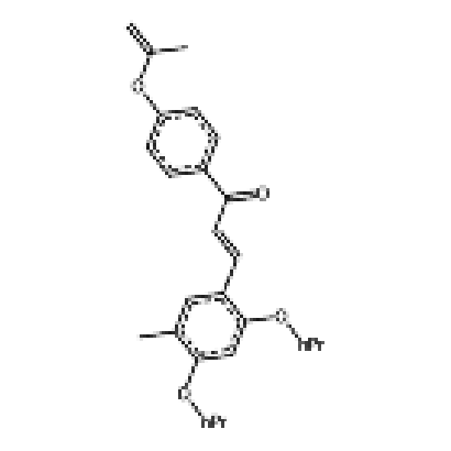 C=C(C)Oc1ccc(C(=O)C=Cc2cc(C)c(OCCC)cc2OCCC)cc1